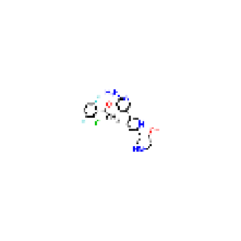 CC(Oc1cc(-c2ccc(C3CNCCC3O)nc2)cnc1N)c1c(F)ccc(F)c1Cl